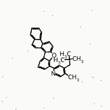 Cc1cnc(-c2cccc3c2oc2ccc4c5ccccc5ccc4c23)cc1CC(C)(C)C